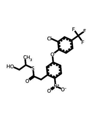 CC(CO)SC(=O)Cc1cc(Oc2ccc(C(F)(F)F)cc2Cl)ccc1[N+](=O)[O-]